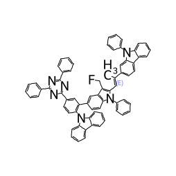 C/C(=C\c1c(CF)c2cc(-c3cc(-c4nc(-c5ccccc5)nc(-c5ccccc5)n4)ccc3-n3c4ccccc4c4ccccc43)ccc2n1-c1ccccc1)c1ccc2c3ccccc3n(-c3ccccc3)c2c1